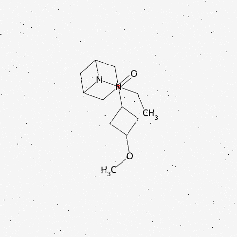 CCN1CC2CC(C1)N2C(=O)C1CC(OC)C1